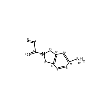 C=CC(=O)N1Cc2ccc(N)cc2C1